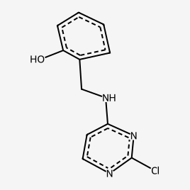 Oc1ccccc1CNc1ccnc(Cl)n1